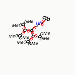 COc1cc(COc2cc(COc3cc(COCCCCNC(=O)OCc4c5ccccc5cc5ccccc45)cc(OCc4cc(OCc5cc(OC)cc(OC)c5)cc(OCc5cc(OC)cc(OC)c5)c4)c3)cc(OCc3cc(OC)cc(OC)c3)c2)cc(OC)c1